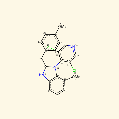 COc1ccc(CC2Nc3cccc(OC)c3N2c2c(Cl)cncc2Cl)cc1